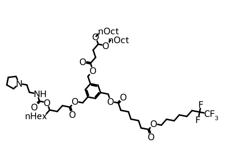 CCCCCCCCOC(CCC(=O)OCc1cc(COC(=O)CCCCCC(=O)OCCCCCCC(F)(F)C(F)(F)F)cc(COC(=O)CCC(CCCCCC)OC(=O)NCCN2CCCC2)c1)OCCCCCCCC